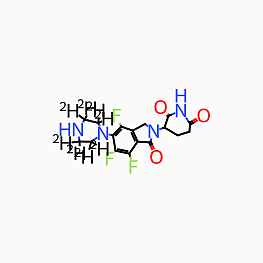 [2H]C1([2H])NC([2H])([2H])C([2H])([2H])N(c2c(F)c(F)c3c(c2F)CN(C2CCC(=O)NC2=O)C3=O)C1([2H])[2H]